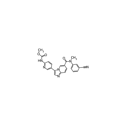 COC(=O)Nc1ccc(-c2cnc3ccc(C(=O)N(C)c4cccc(C#N)c4)cn23)cn1